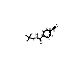 CC(C)(C)CNC(=O)c1ccc(C#N)cc1